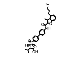 COCCCc1cccc2oc(C(=O)Nc3ccc(-c4ccc(S(=O)(=O)N[C@H](C(=O)O)C(C)C)cc4)cc3)c(C)c12